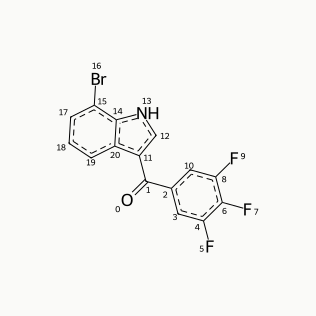 O=C(c1cc(F)c(F)c(F)c1)c1c[nH]c2c(Br)cccc12